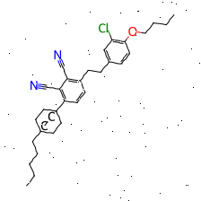 CCCCCC12CCC(c3ccc(CCc4ccc(OCCCC)c(Cl)c4)c(C#N)c3C#N)(CC1)CC2